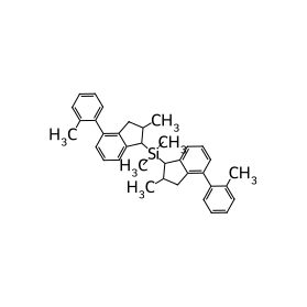 Cc1ccccc1-c1cccc2c1CC(C)C2[Si](C)(C)C1c2cccc(-c3ccccc3C)c2CC1C